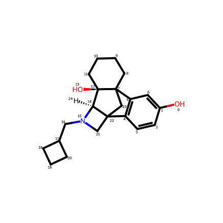 Oc1ccc2c(c1)C13CCCC[C@@]1(O)[C@@H]1N(CC4CCC4)CC21C3